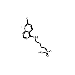 O=c1ccc2c(NCCCCP(=O)(O)O)ncnc2[nH]1